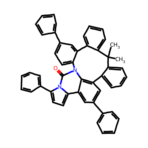 CC1(C)c2ccccc2-c2cc(-c3ccccc3)ccc2-n2c(=O)n3c(-c4ccccc4)ccc3c3cc(-c4ccccc4)cc(c32)-c2ccccc21